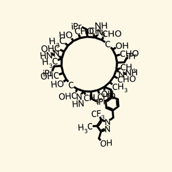 Cc1c(CO)nn(Cc2ccc(CC3(O)C(C)C(C=O)C(C)(N=N)C(CC(C)C)C(C=O)C(O)CC(C=O)C(C)(N=N)C(CC(C)C)C(C=O)C(O)C(C)C(C=O)C(C)(N=N)C(CC(C)C)C(C=O)C(O)CC(C=O)C(C)(N=N)C(CC(C)C)C3C=O)cc2)c1C(F)(F)F